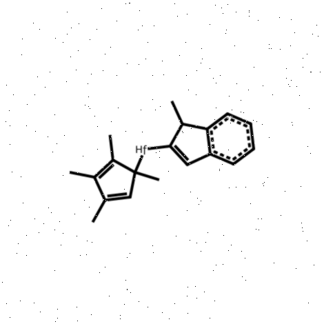 CC1=C[C](C)([Hf][C]2=Cc3ccccc3C2C)C(C)=C1C